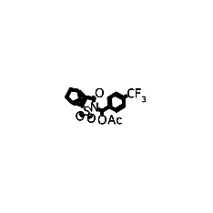 CC(=O)OC(c1ccc(C(F)(F)F)cc1)N1C(=O)C2=C(C3CCC2C3)S1(=O)=O